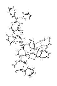 c1ccc(N(c2ccccc2)c2ccc3c(c2)Oc2cc(N(c4ccc(-c5cccc6c5oc5ccccc56)cc4)c4ccc5c(c4)C(c4ccccc4)(c4ccccc4)c4ccccc4-5)cc4cccc-3c24)cc1